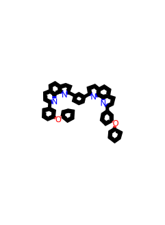 c1ccc(Oc2cccc(-c3ccc4ccc5ccc(-c6cccc(-c7ccc8ccc9ccc(-c%10cccc(Oc%11ccccc%11)c%10)nc9c8n7)c6)nc5c4n3)c2)cc1